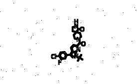 CC(C)(C)n1cc(-c2ccc(Cl)c(F)c2)c2ccc(C(=O)N3CCC4(CCNC4=O)CC3)nc21